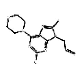 C=CCn1c(I)nc2c(N3CCOCC3)nc(Cl)nc21